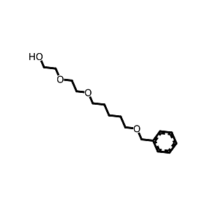 OCCOCCOCCCCCOCc1ccccc1